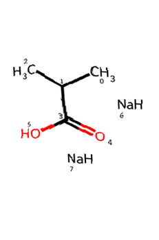 CC(C)C(=O)O.[NaH].[NaH]